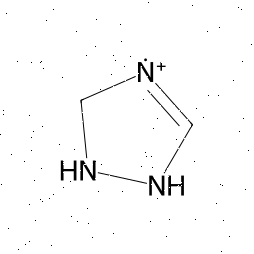 C1=[N+]CNN1